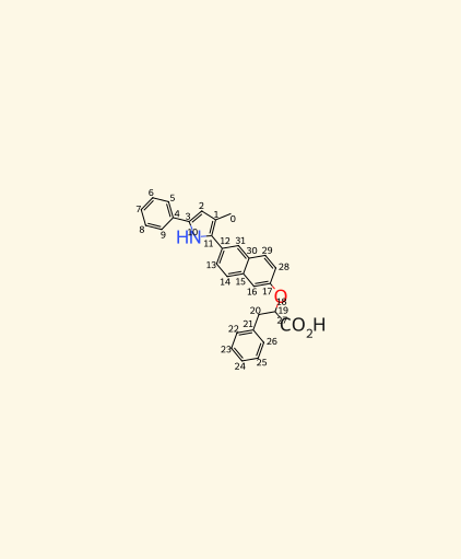 Cc1cc(-c2ccccc2)[nH]c1-c1ccc2cc(OC(Cc3ccccc3)C(=O)O)ccc2c1